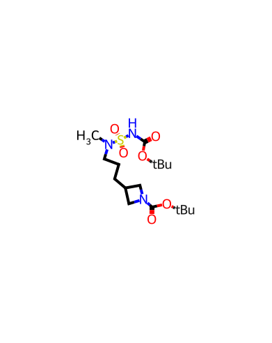 CN(CCCC1CN(C(=O)OC(C)(C)C)C1)S(=O)(=O)NC(=O)OC(C)(C)C